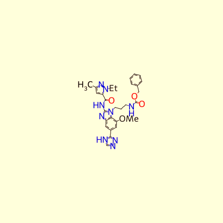 CCn1nc(C)cc1C(=O)Nc1nc2cc(-c3nnc[nH]3)cc(OC)c2n1CCCNC(=O)OCc1ccccc1